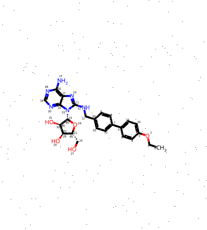 CCOc1ccc(-c2ccc(CNc3nc4c(N)ncnc4n3[C@@H]3O[C@H](CO)[C@@H](O)[C@H]3O)cc2)cc1